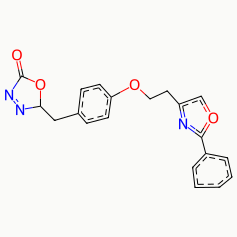 O=C1N=NC(Cc2ccc(OCCc3coc(-c4ccccc4)n3)cc2)O1